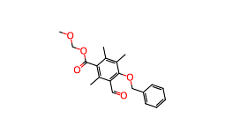 COCOC(=O)c1c(C)c(C)c(OCc2ccccc2)c(C=O)c1C